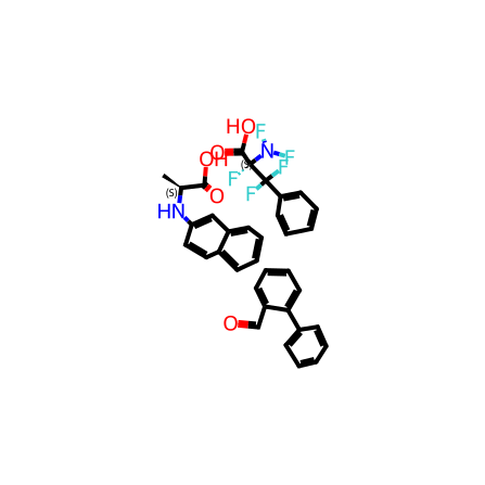 C[C@H](Nc1ccc2ccccc2c1)C(=O)O.O=C(O)[C@@](F)(N(F)F)C(F)(F)c1ccccc1.O=Cc1ccccc1-c1ccccc1